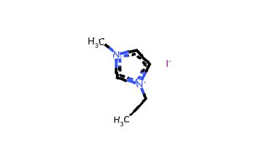 CC[n+]1ccn(C)c1.[I-]